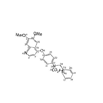 COc1cc2nccc(Oc3ccc(N(Cc4ccccc4)C(=O)O)cc3)c2cc1OC